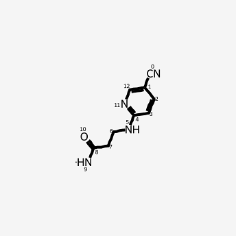 N#Cc1ccc(NCCC([NH])=O)nc1